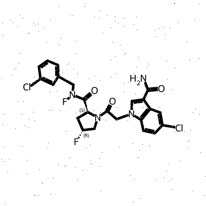 NC(=O)c1cn(CC(=O)N2C[C@H](F)C[C@H]2C(=O)N(F)Cc2cccc(Cl)c2)c2ccc(Cl)cc12